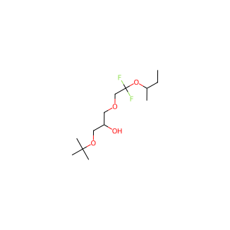 CCC(C)OC(F)(F)COCC(O)COC(C)(C)C